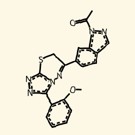 COc1ccccc1-c1nnc2n1N=C(c1ccc3cnn(C(C)=O)c3c1)CS2